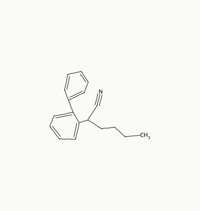 CCCCC(C#N)c1ccccc1-c1ccccc1